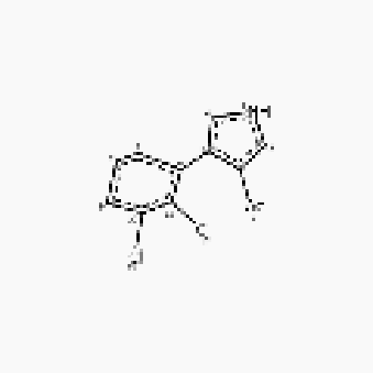 CC(=O)c1c[nH]cc1-c1cccc(Cl)c1Cl